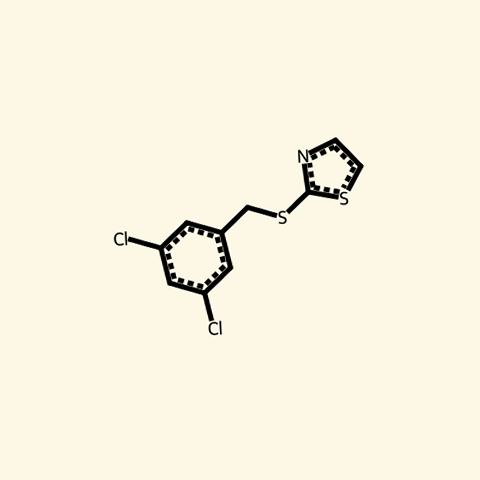 Clc1cc(Cl)cc(CSc2nccs2)c1